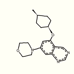 C[C@H]1CC[C@@H](Oc2cc(N3CCOCC3)cc3ncncc23)CC1